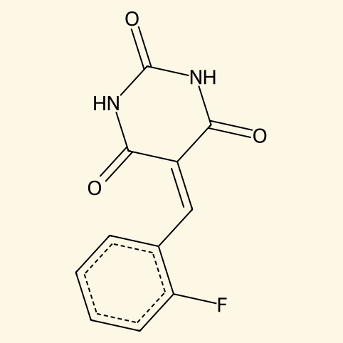 O=C1NC(=O)C(=Cc2ccccc2F)C(=O)N1